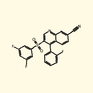 N#Cc1ccc2c(-c3ccccc3F)c(S(=O)(=O)c3cc(F)cc(F)c3)cnc2c1